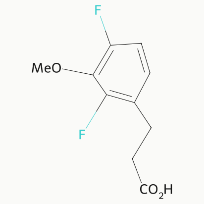 COc1c(F)ccc(CCC(=O)O)c1F